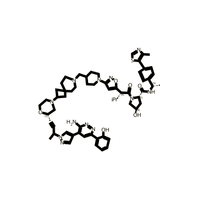 Cc1ncsc1-c1ccc([C@H](C)NC(=O)[C@@H]2C[C@@H](O)CN2C(=O)[C@@H](c2cc(N3CCC(CN4CCC5(CC4)CC(N4CCO[C@@H](C#CC(C)n6cc(-c7cc(-c8ccccc8O)nnc7N)cn6)C4)C5)CC3)no2)C(C)C)cc1